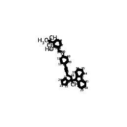 CC(C)(C)c1cccc(/C=N/c2ccc(C#CCCC(C)(C3=CCC=C3)C3c4ccccc4-c4ccccc43)cc2)c1O